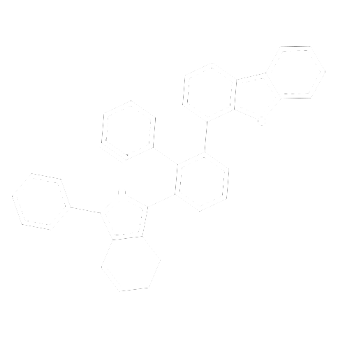 c1cccc(-c2c(-c3oc(-c4ccccc4)c4c3CCC=C4)cccc2-c2cccc3c2oc2ccccc23)c#1